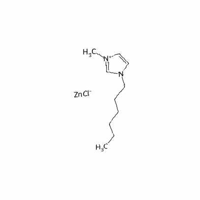 CCCCCCn1cc[n+](C)c1.[Cl-].[Zn]